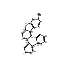 Brc1ccc2c(c1)oc1ccc(-c3ccccc3-c3ccccc3)cc12